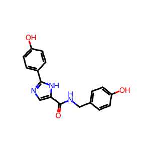 O=C(NCc1ccc(O)cc1)c1cnc(-c2ccc(O)cc2)[nH]1